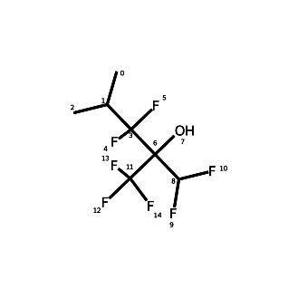 CC(C)C(F)(F)C(O)(C(F)F)C(F)(F)F